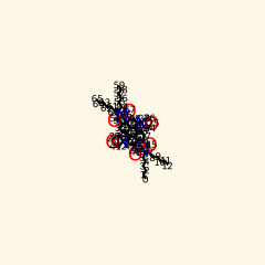 CCCCCCC(CCCCCC)N1C(=O)c2ccc3c4c(N5CCOCC5)cc5c6c(ccc(c7c(N8CCOCC8)cc(c2c37)C1=O)c64)C(=O)N(C(CCCCCC)CCCCCC)C5=O